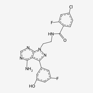 Nc1ncnc2c1c(-c1cc(O)cc(F)c1)nn2CCNC(=O)c1ccc(Cl)cc1F